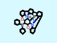 c1ccc(B(c2ccccc2)C2C3Oc4cccc5c6ccc7c8c6n(c45)C3[C@@H]3B8c4c-7ccc5c6cccc7c6n(c45)[C@@H]3C2O7)cc1